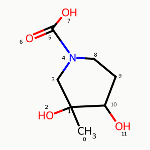 CC1(O)CN(C(=O)O)CCC1O